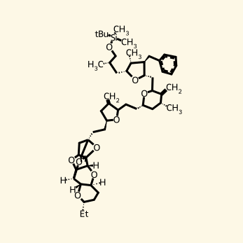 C=C1C[C@H](CC[C@@]23CC4OC5[C@@H](O2)[C@H]2O[C@@H](CC)CC[C@@H]2O[C@H]5[C@H]4O3)OC1CC[C@H]1C[C@@H](C)C(=C)C(C[C@@H]2O[C@H](C[C@H](C)CO[Si](C)(C)C(C)(C)C)[C@H](C)[C@H]2Cc2ccccc2)O1